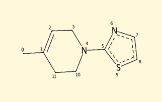 CC1=CCN(c2nccs2)CC1